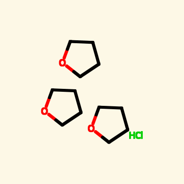 C1CCOC1.C1CCOC1.C1CCOC1.Cl